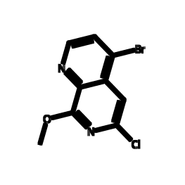 COc1nc(Cl)cc2c(Br)ccnc12